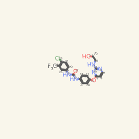 C[C@@H](O)CNc1nccc(Oc2ccc(NC(=O)Nc3ccc(Cl)c(C(F)(F)F)c3)cc2)n1